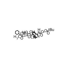 CC(C)(C)C(=O)OCOC(=O)Nc1ncnn2c([C@]3(C#N)O[C@H](COC(=O)C(C)(C)C4CCCCC4)[C@@H](O)[C@H]3O)ccc12